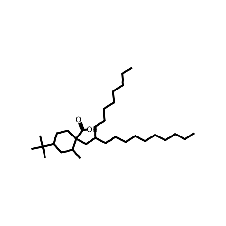 CCCCCCCCCCC(CCCCCCCC)CC1(C(=O)O)CCC(C(C)(C)C)CC1C